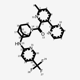 Cc1ccc(-c2ncccn2)c(C(=O)N2CC3CCC2C(Nc2ccc(C(F)(F)F)cn2)C3)n1